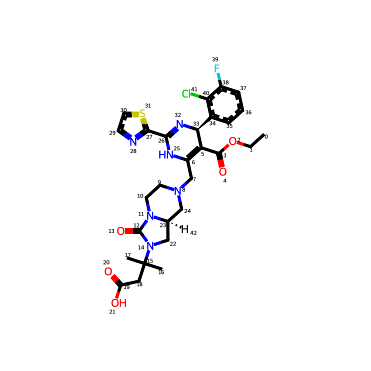 CCOC(=O)C1=C(CN2CCN3C(=O)N(C(C)(C)CC(=O)O)C[C@@H]3C2)NC(c2nccs2)=N[C@H]1c1cccc(F)c1Cl